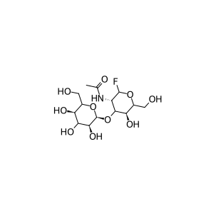 CC(=O)N[C@@H]1C(F)OC(CO)[C@@H](O)C1O[C@@H]1OC(CO)[C@H](O)C(O)[C@@H]1O